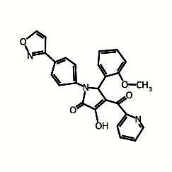 COc1ccccc1C1C(C(=O)c2ccccn2)=C(O)C(=O)N1c1ccc(-c2ccon2)cc1